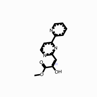 COC(=O)/C(O)=C\c1nccc(-c2ccccn2)n1